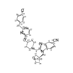 N#Cc1ccc2c(c1)nc(CN1CCC(Oc3ccnc(Cc4ccc(Cl)cc4)n3)CC1)n2C[C@H]1CCOC1